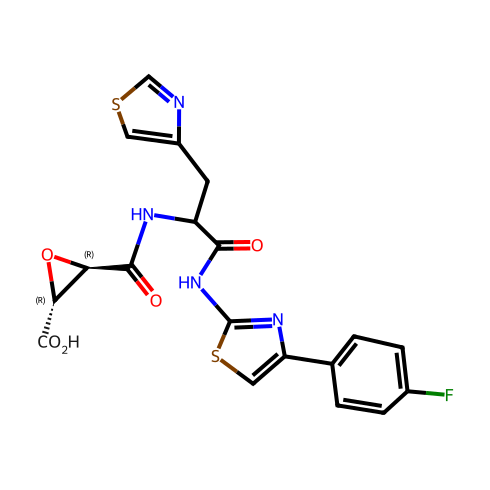 O=C(Nc1nc(-c2ccc(F)cc2)cs1)C(Cc1cscn1)NC(=O)[C@@H]1O[C@H]1C(=O)O